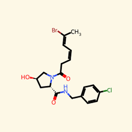 C/C(Br)=C\C=C/CC(=O)N1C[C@H](O)C[C@H]1C(=O)NCc1ccc(Cl)cc1